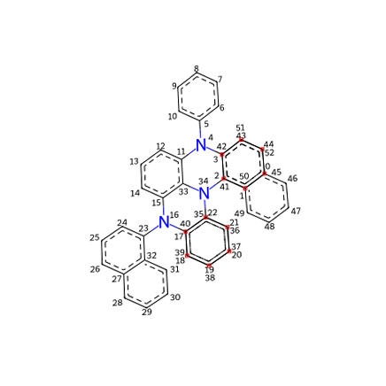 c1ccc(N(c2ccccc2)c2cccc(N(c3ccccc3)c3cccc4ccccc34)c2N(c2ccccc2)c2cccc3ccccc23)cc1